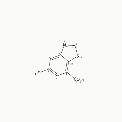 O=C(O)c1cc(F)cc2ncsc12